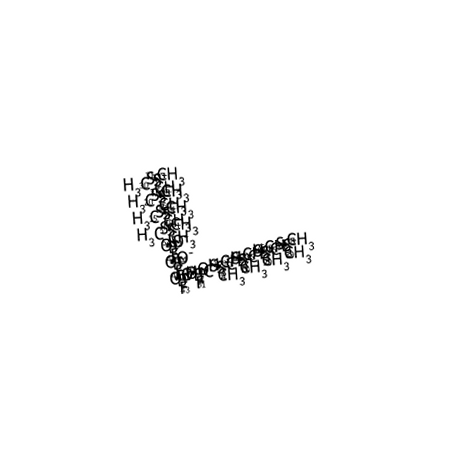 CS[S+](C)C.CS[S+](C)C.CS[S+](C)C.CS[S+](C)C.CS[S+](C)C.CS[S+](C)C.CS[S+](C)C.CS[S+](C)C.[O-]B([O-])F.[O-]B([O-])F.[O-]B([O-])F.[O-]B([O-])F